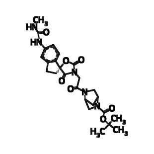 CNC(=O)Nc1ccc2c(c1)CC[C@@]21OC(=O)N(CC(=O)N2CC3CC2CN3C(=O)OC(C)(C)C)C1=O